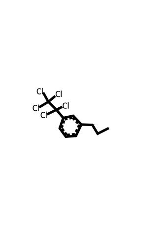 CC[CH]c1cccc(C(Cl)(Cl)C(Cl)(Cl)Cl)c1